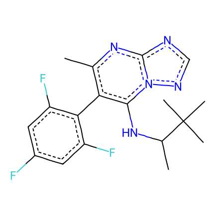 Cc1nc2ncnn2c(NC(C)C(C)(C)C)c1-c1c(F)cc(F)cc1F